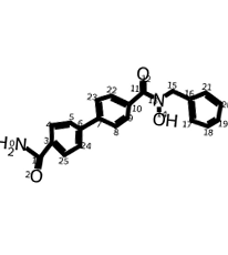 NC(=O)c1ccc(-c2ccc(C(=O)N(O)Cc3ccccc3)cc2)cc1